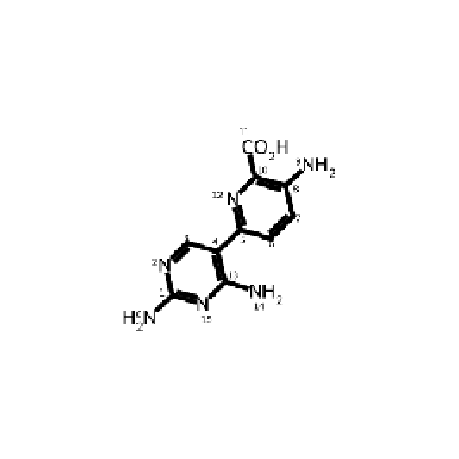 Nc1ncc(-c2ccc(N)c(C(=O)O)n2)c(N)n1